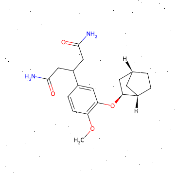 COc1ccc(C(CC(N)=O)CC(N)=O)cc1O[C@H]1C[C@@H]2CC[C@H]1C2